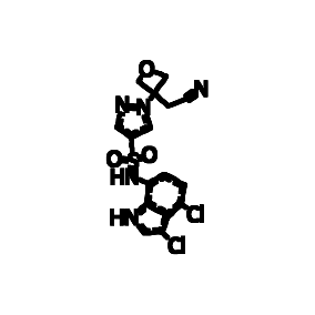 N#CCC1(n2cc(S(=O)(=O)Nc3ccc(Cl)c4c(Cl)c[nH]c34)cn2)COC1